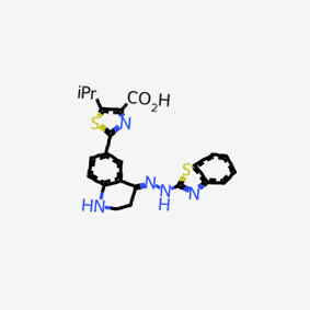 CC(C)c1sc(-c2ccc3c(c2)/C(=N/Nc2nc4ccccc4s2)CCN3)nc1C(=O)O